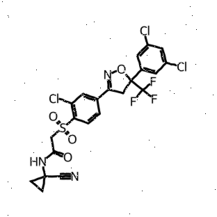 N#CC1(NC(=O)CS(=O)(=O)c2ccc(C3=NOC(c4cc(Cl)cc(Cl)c4)(C(F)(F)F)C3)cc2Cl)CC1